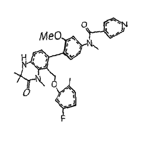 COc1cc(N(C)C(=O)c2ccncc2)ccc1-c1ccc2c(c1COc1cc(F)ccc1C)N(C)C(=O)C(C)(C)N2